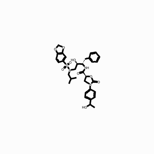 CC(C)CN(C[C@@H](O)[C@H](Cc1ccccc1)NC(=O)[C@@H]1CN(c2ccc(C(C)O)cc2)C(=O)O1)S(=O)(=O)c1ccc2c(c1)OCO2